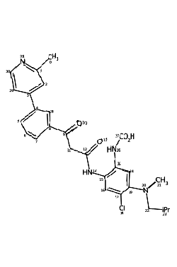 Cc1cc(-c2cccc(C(=O)CC(=O)Nc3cc(Cl)c(N(C)CC(C)C)cc3NC(=O)O)c2)ccn1